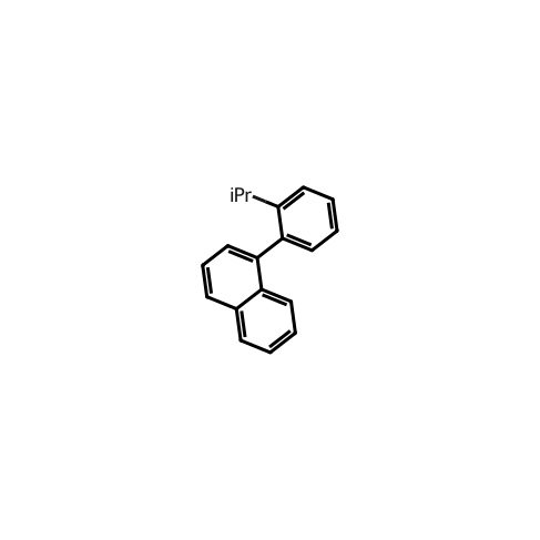 CC(C)c1ccccc1-c1cccc2ccccc12